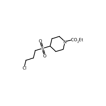 CCOC(=O)N1CCC(S(=O)(=O)CCCCl)CC1